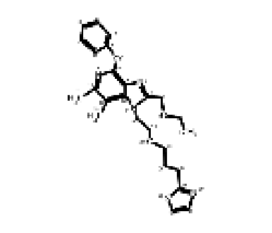 CCOCc1nc2c(Oc3ccccc3)nc(C)c(C)c2n1CCOCCCc1nccs1